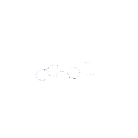 COc1ccc(-c2ccc3ncncc3n2)cc1OC